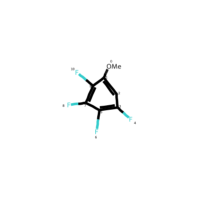 [CH2]Oc1cc(F)c(F)c(F)c1F